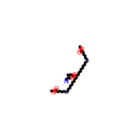 CCOC(=O)CCCC/C=C\CCCCCCCCC(CCCCCCCC/C=C\CCCCC(=O)OCC)OC(=O)CC(C)C(C)CN(C)C